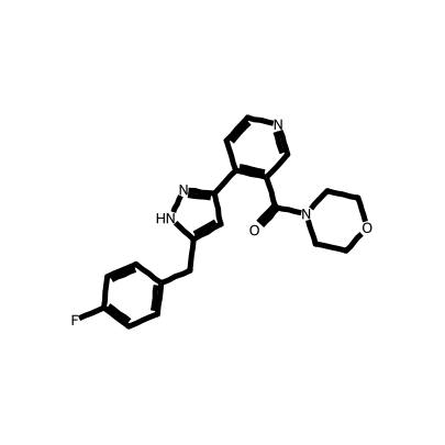 O=C(c1cnccc1-c1cc(Cc2ccc(F)cc2)[nH]n1)N1CCOCC1